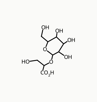 O=C(O)C(CO)OC1OC(CO)C(O)C(O)C1O